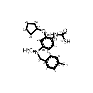 CN(Cc1ccc(F)cc1)c1ccc(NC(=O)S)c(OC2CCCC2)c1